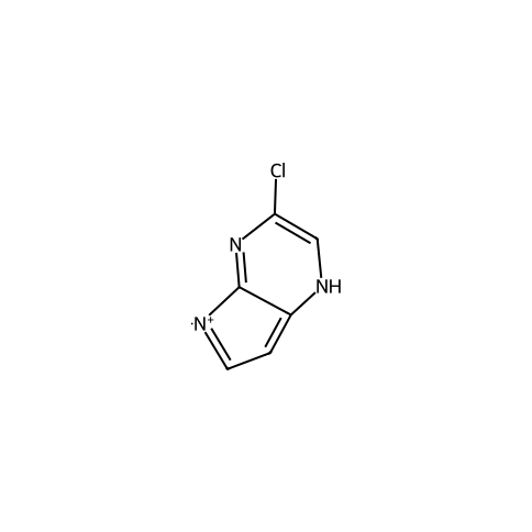 ClC1=CNC2=CC=[N+]C2=N1